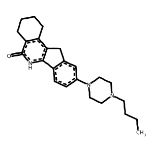 CCCCN1CCN(c2ccc3c(c2)Cc2c-3[nH]c(=O)c3c2CCCC3)CC1